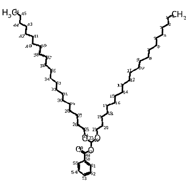 CCCCCCCCCCCCCCCCCCCCCCOC(OCCCCCCCCCCCCCCCCCCCCCC)OC(=O)c1ccccc1